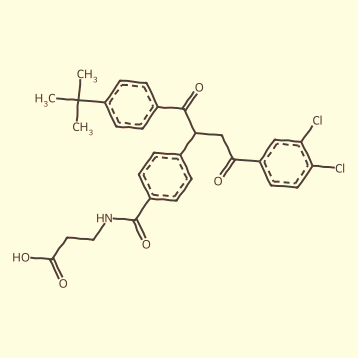 CC(C)(C)c1ccc(C(=O)C(CC(=O)c2ccc(Cl)c(Cl)c2)c2ccc(C(=O)NCCC(=O)O)cc2)cc1